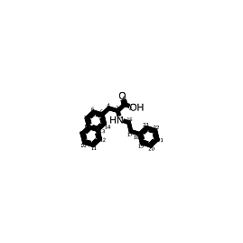 O=C(O)C(Cc1ccc2ccccc2c1)NCCc1ccccc1